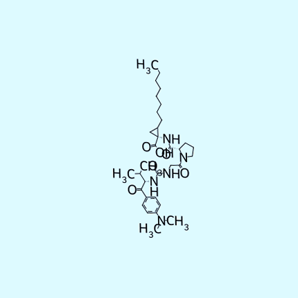 CCCCCCCCC1C[C@]1(NC(=O)[C@@H]1CCCN1C(=O)CNC(=O)N[C@H](C(=O)c1ccc(N(C)C)cc1)C(C)C)C(=O)O